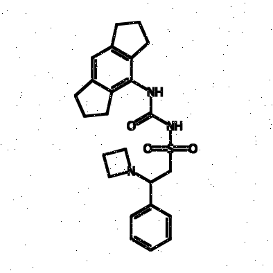 O=C(Nc1c2c(cc3c1CCC3)CCC2)NS(=O)(=O)CC(c1ccccc1)N1CCC1